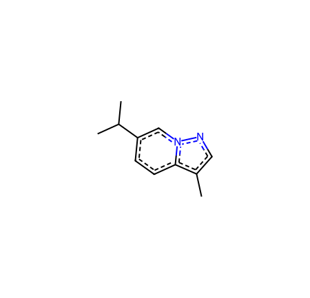 Cc1cnn2cc(C(C)C)ccc12